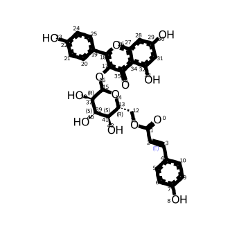 O=C(/C=C/c1ccc(O)cc1)OC[C@H]1OC(Oc2c(-c3ccc(O)cc3)oc3cc(O)cc(O)c3c2=O)[C@H](O)[C@@H](O)[C@@H]1O